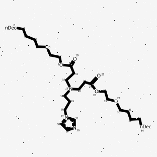 CCCCCCCCCCCCCCOCCOC(=O)CCN(CCCn1ccnc1)CCC(=O)OCCOCCCCCCCCCCCCCC